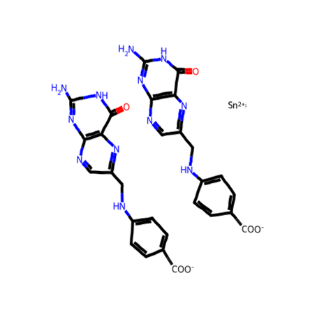 Nc1nc2ncc(CNc3ccc(C(=O)[O-])cc3)nc2c(=O)[nH]1.Nc1nc2ncc(CNc3ccc(C(=O)[O-])cc3)nc2c(=O)[nH]1.[Sn+2]